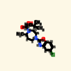 CC1CCN(c2nc3cc(Cl)ccc3o2)C[C@@H](C(C)(C)C)N1C(=O)O